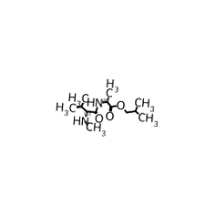 CN[C@H](C(=O)N[C@@H](C)C(=O)OCC(C)C)C(C)C